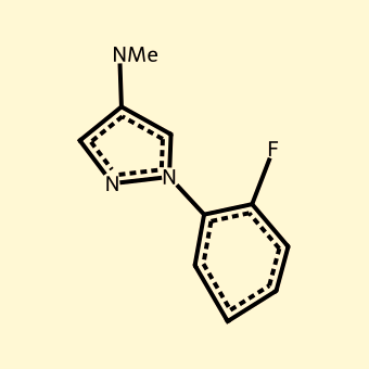 CNc1cnn(-c2ccccc2F)c1